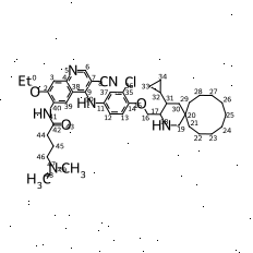 CCOc1cc2ncc(C#N)c(Nc3ccc(OCC4NCC5(CCCCCCCCC5)CC4C4CC4)c(Cl)c3)c2cc1NC(=O)CCCN(C)C